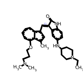 CCN1CCC(Nc2ccc3c(c2)/C(=C\c2cc(C)c4c(OCCCN(C)C)ccccc2-4)C(=O)N3)CC1